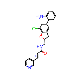 Nc1ccccc1-c1cc(Cl)c2c(c1)CC(CNC(=O)/C=C/c1cccnc1)O2